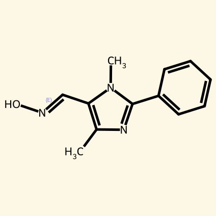 Cc1nc(-c2ccccc2)n(C)c1/C=N/O